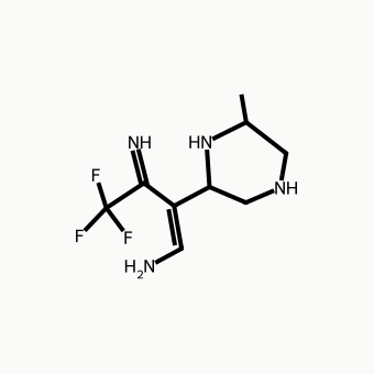 CC1CNCC(/C(=C/N)C(=N)C(F)(F)F)N1